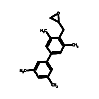 Cc1cc(C)cc(-c2cc(C)c(CC3CO3)c(C)c2)c1